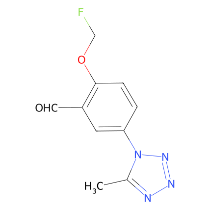 Cc1nnnn1-c1ccc(OCF)c(C=O)c1